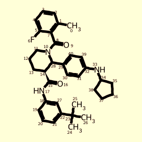 Cc1cccc(F)c1C(=O)N1CCC[C@H](C(=O)Nc2cccc(C(C)(C)C)c2)C1c1ccc(NC2CCCC2)cc1